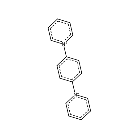 c1cc[n+](-c2ccc(-[n+]3ccccc3)cc2)cc1